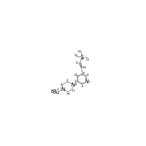 CC(C)(C)N1CCN(c2cncc(C#CS(C)(C)C)c2)CC1